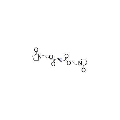 O=C(/C=C/C(=O)OCCN1CCCC1=O)OCCN1CCCC1=O